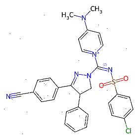 CN(C)c1cc[n+](/C(=N/S(=O)(=O)c2ccc(Cl)cc2)N2CC(c3ccccc3)C(c3ccc(C#N)cc3)=N2)cc1